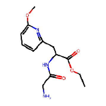 CCOC(=O)C(Cc1cccc(OC)n1)NC(=O)CN